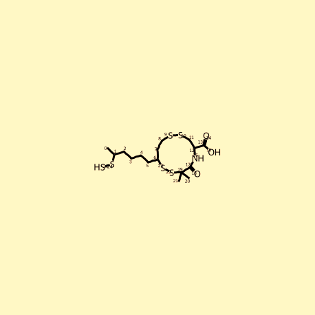 CC(CCCCC1CCSSCC(C(=O)O)NC(=O)C(C)(C)SS1)SS